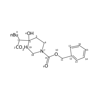 CCCCC(C(=O)O)C1(O)CCN(C(=O)OCc2ccccc2)CC1